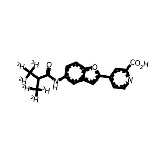 [2H]C([2H])([2H])C(C(=O)Nc1ccc2oc(-c3ccnc(C(=O)O)c3)cc2c1)C([2H])([2H])[2H]